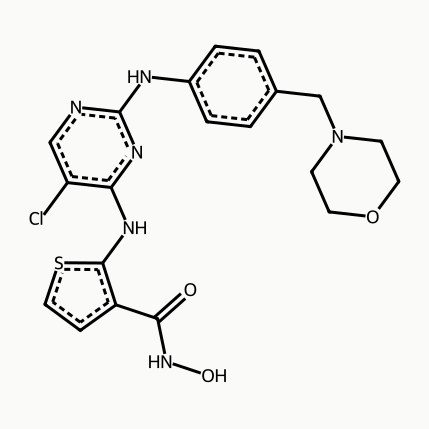 O=C(NO)c1ccsc1Nc1nc(Nc2ccc(CN3CCOCC3)cc2)ncc1Cl